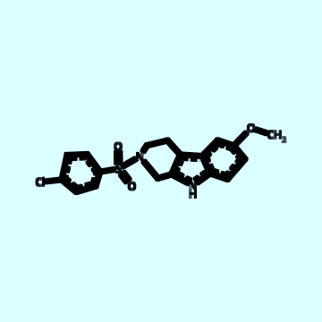 COc1ccc2[nH]c3c(c2c1)CCN(S(=O)(=O)c1ccc(Cl)cc1)C3